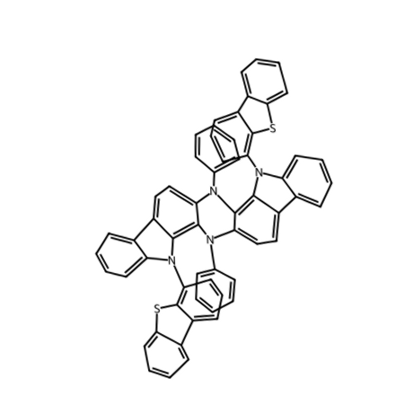 c1ccc(N2c3ccc4c5ccccc5n(-c5cccc6c5sc5ccccc56)c4c3N(c3ccccc3)c3ccc4c5ccccc5n(-c5cccc6c5sc5ccccc56)c4c32)cc1